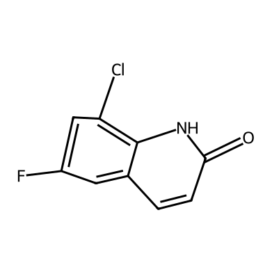 O=c1ccc2cc(F)cc(Cl)c2[nH]1